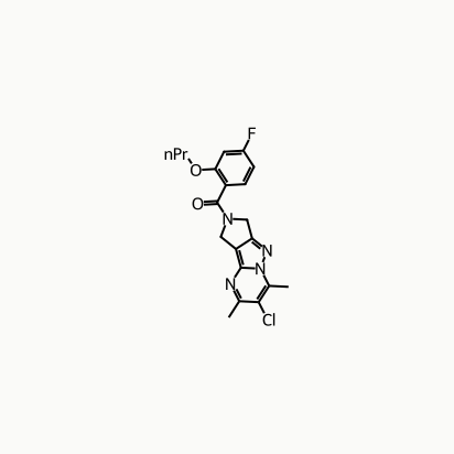 CCCOc1cc(F)ccc1C(=O)N1Cc2nn3c(C)c(Cl)c(C)nc3c2C1